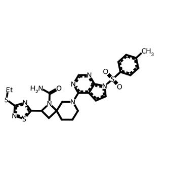 CCSc1nsc(C2CC3(CCCN(c4ncnc5c4ccn5S(=O)(=O)c4ccc(C)cc4)C3)N2C(N)=O)n1